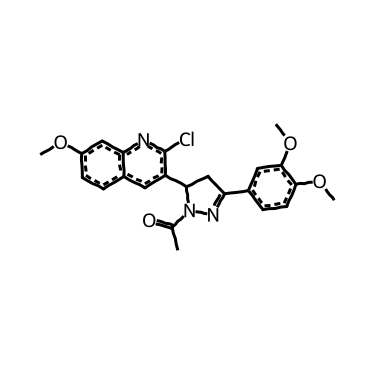 COc1ccc2cc(C3CC(c4ccc(OC)c(OC)c4)=NN3C(C)=O)c(Cl)nc2c1